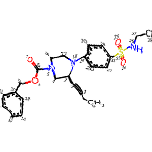 CC#CC1CN(C(=O)OCc2ccccc2)CCN1c1ccc(S(=O)(=O)NCC(F)(F)F)cc1